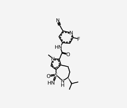 CC(C)[C@@H]1CCc2c(cn(C)c2C(=O)Nc2cc(F)nc(C#N)c2)S(=N)(=O)N1